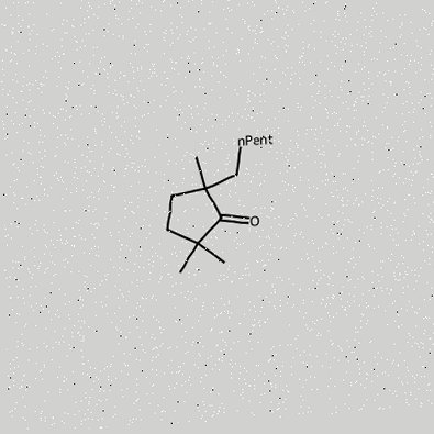 CCCCCCC1(C)CCC(C)(C)C1=O